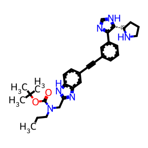 CCCN(Cc1nc2cc(C#Cc3cccc(-c4nc[nH]c4[C@@H]4CCCN4)c3)ccc2[nH]1)C(=O)OC(C)(C)C